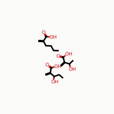 C=C(C(=O)O)C(C)O.C=C(C(=O)O)C(O)CC.C=C(CCCC)C(=O)O